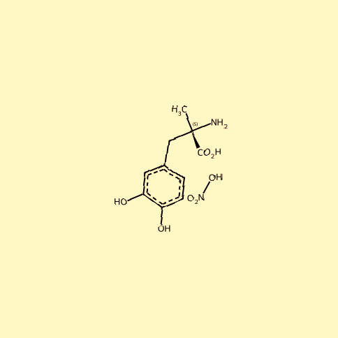 C[C@](N)(Cc1ccc(O)c(O)c1)C(=O)O.O=[N+]([O-])O